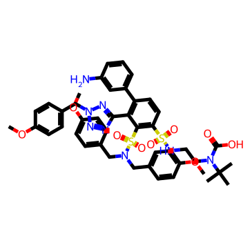 COc1ccc(CN(Cc2ccc(OC)cc2)S(=O)(=O)c2c(S(=O)(=O)NCCN(C(=O)O)C(C)(C)C)ccc(-c3cccc(N)c3)c2-c2nnn(Cc3ccc(OC)cc3)n2)cc1